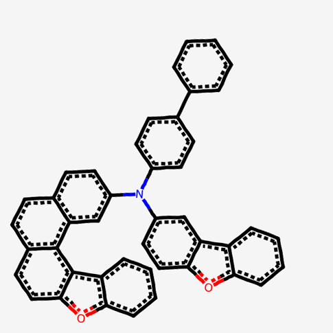 c1ccc(-c2ccc(N(c3ccc4oc5ccccc5c4c3)c3ccc4ccc5ccc6oc7ccccc7c6c5c4c3)cc2)cc1